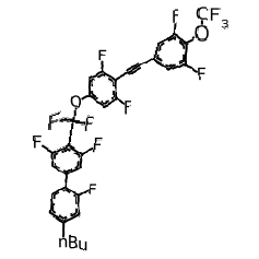 CCCCc1ccc(-c2cc(F)c(C(F)(F)Oc3cc(F)c(C#Cc4cc(F)c(OC(F)(F)F)c(F)c4)c(F)c3)c(F)c2)c(F)c1